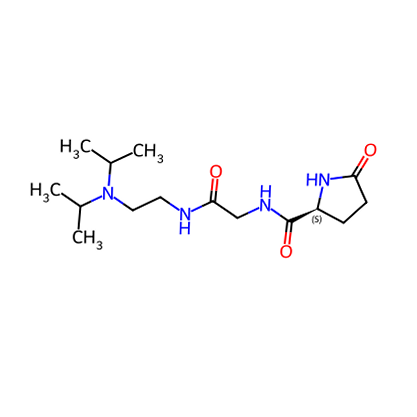 CC(C)N(CCNC(=O)CNC(=O)[C@@H]1CCC(=O)N1)C(C)C